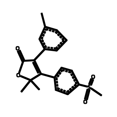 Cc1cccc(C2=C(c3ccc(S(C)(=O)=O)cc3)C(C)(C)OC2=O)c1